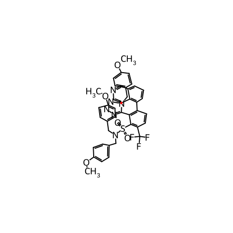 COc1ccc(CN(Cc2ccc(OC)cc2)S(=O)(=O)c2c(C(F)(F)F)ccc(-c3cccc4cnccc34)c2-c2nnnn2Cc2ccc(OC)cc2)cc1